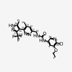 CCOc1cc(NC(=O)NCc2cc(C)c(-c3c(C(F)(F)F)n[nH]c3C)nn2)cnc1Cl